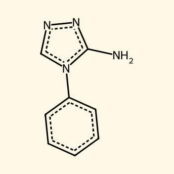 Nc1nncn1-c1ccccc1